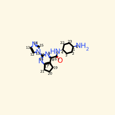 N[C@H]1CC[C@H](NC(=O)c2nc(-n3ccnc3)nc3c2CCC3)CC1